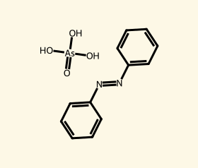 O=[As](O)(O)O.c1ccc(N=Nc2ccccc2)cc1